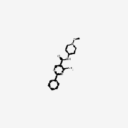 CON1CCC(NC(=O)c2cnc(-c3ccccc3)nc2N)CC1